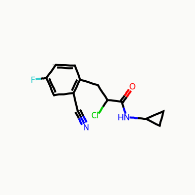 N#Cc1cc(F)[c]cc1CC(Cl)C(=O)NC1CC1